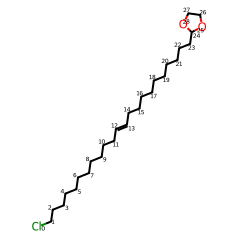 ClCCCCCCCCCCCC=CCCCCCCCCCCC1OCCO1